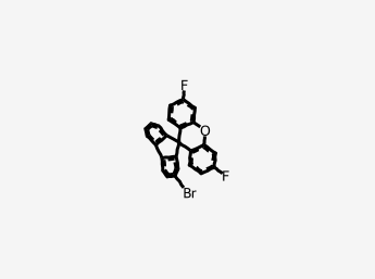 Fc1ccc2c(c1)Oc1cc(F)ccc1C21c2ccccc2-c2ccc(Br)cc21